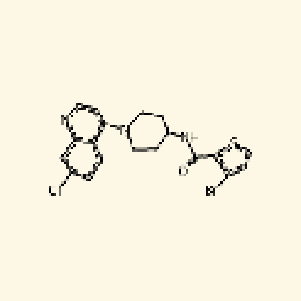 O=C(NC1CCN(c2ccnc3cc(Cl)ccc23)CC1)c1sccc1Br